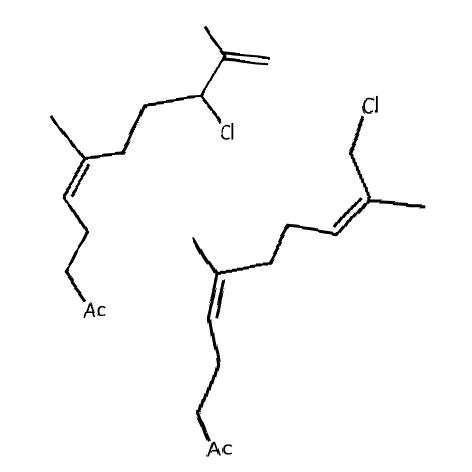 C=C(C)C(Cl)CCC(C)=CCCC(C)=O.CC(=O)CCC=C(C)CCC=C(C)CCl